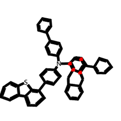 c1ccc(-c2ccc(N(c3ccc(-c4cccc5c4sc4ccccc45)cc3)c3ccc(-c4ccccc4)c4c3C3c5ccccc5C4c4ccccc43)cc2)cc1